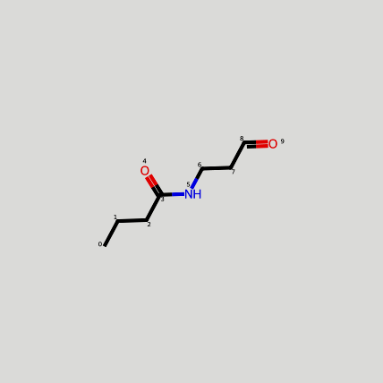 CCCC(=O)NCCC=O